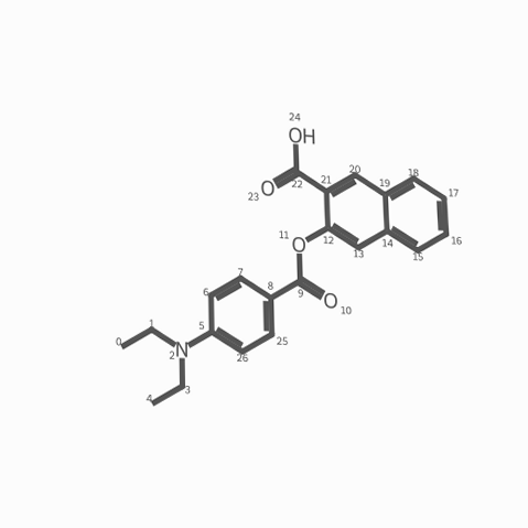 CCN(CC)c1ccc(C(=O)Oc2cc3ccccc3cc2C(=O)O)cc1